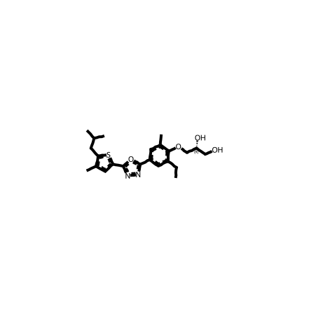 CCc1cc(-c2nnc(-c3cc(C)c(CC(C)C)s3)o2)cc(C)c1OC[C@H](O)CO